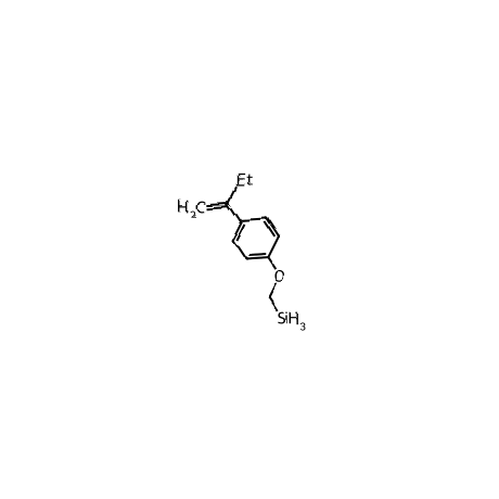 C=C(CC)c1ccc(OC[SiH3])cc1